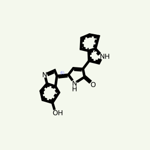 O=C1N/C(=C2/C=Nc3ccc(O)cc32)C=C1c1c[nH]c2ccccc12